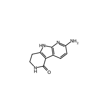 Nc1ccc2c3c([nH]c2n1)CCNC3=O